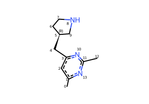 Cc1cc(C[C@H]2CCNC2)nc(C)n1